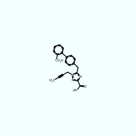 CC#CCn1nc(C(=O)CCC)nc1Cc1ccc(-c2ccccc2C(=O)O)cc1